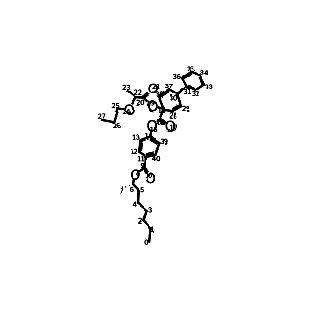 CCCCCC[C@H](C)OC(=O)c1ccc(OC(=O)C2(OC(=O)[C@H](C)OCCC)C=CC(c3ccccc3)C=C2)cc1